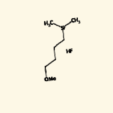 COCCCC[Si](C)C.F